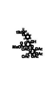 COC(=O)C[C@H]1O[C@H](c2cccc(O[Si](C)(C)C(C)(C)C)c2)[C@@H](O)[C@@H](O[C@H]2O[C@H](COC(C)=O)[C@@H](OC(C)=O)[C@H](OC(C)=O)[C@@H]2OC(C)=O)[C@@H]1OC(C)=O